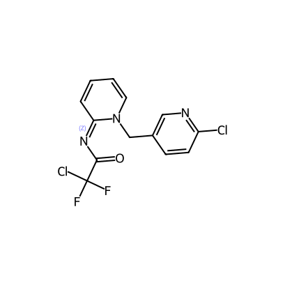 O=C(/N=c1/ccccn1Cc1ccc(Cl)nc1)C(F)(F)Cl